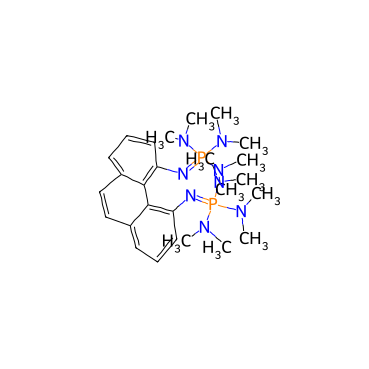 CN(C)P(=Nc1cccc2ccc3cccc(N=P(N(C)C)(N(C)C)N(C)C)c3c12)(N(C)C)N(C)C